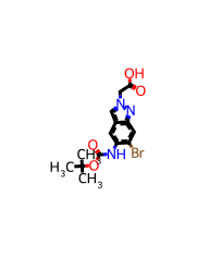 CC(C)(C)OC(=O)Nc1cc2cn(CC(=O)O)nc2cc1Br